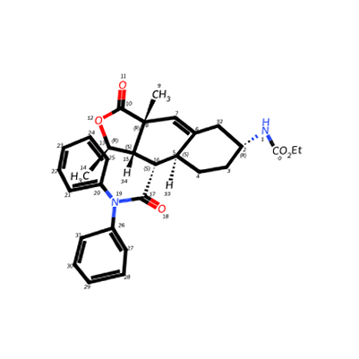 CCOC(=O)N[C@@H]1CC[C@@H]2C(=C[C@@]3(C)C(=O)O[C@H](C)[C@H]3[C@H]2C(=O)N(c2ccccc2)c2ccccc2)C1